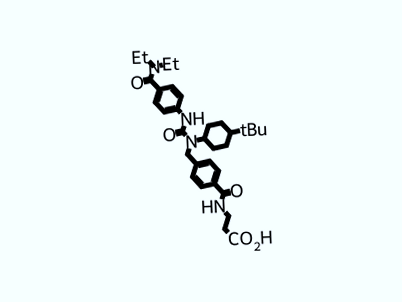 CCN(CC)C(=O)c1ccc(NC(=O)N(Cc2ccc(C(=O)NCCC(=O)O)cc2)C2CCC(C(C)(C)C)CC2)cc1